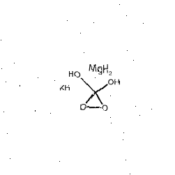 OC1(O)OO1.[KH].[MgH2]